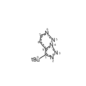 CC(C)(C)c1nnn2nnccc12